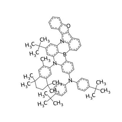 Cc1cc2c(cc1N1c3cc(N(c4ccc(C(C)(C)C)cc4)c4ccc(C(C)(C)C)cc4)ccc3B3c4c1cc(C(C)(C)C)cc4-n1c4c3cccc4c3oc4ccccc4c31)C(C)(C)CCC2(C)C